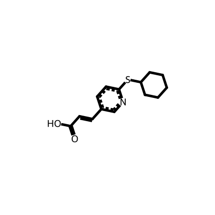 O=C(O)C=Cc1ccc(SC2CCCCC2)nc1